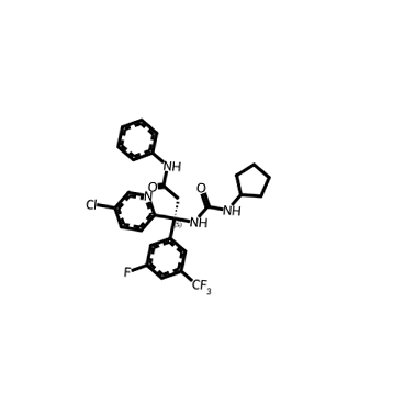 O=C(C[C@](NC(=O)NC1CCCC1)(c1cc(F)cc(C(F)(F)F)c1)c1ccc(Cl)cn1)Nc1ccccc1